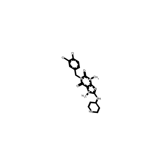 Cn1c(NC2CCNCC2)nc2c1c(=O)n(Cc1ccc(Cl)c(Cl)c1)c(=O)n2C